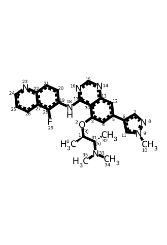 C[C@@H](Oc1cc(-c2cnn(C)c2)cc2ncnc(Nc3ccc4ncccc4c3F)c12)[C@H](C)N(C)C